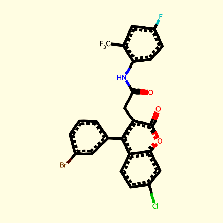 O=C(Cc1c(-c2cccc(Br)c2)c2ccc(Cl)cc2oc1=O)Nc1ccc(F)cc1C(F)(F)F